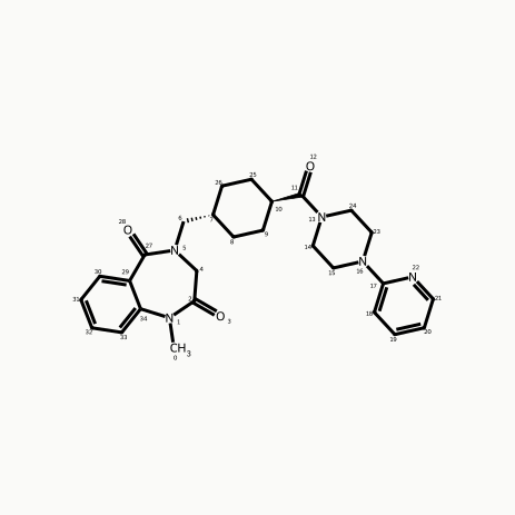 CN1C(=O)CN(C[C@H]2CC[C@H](C(=O)N3CCN(c4ccccn4)CC3)CC2)C(=O)c2ccccc21